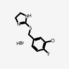 Br.Fc1ccc(CSC2=NCCN2)cc1Cl